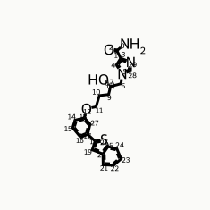 NC(=O)c1cn(C[C@@H](O)CCCOc2cccc(-c3cc4ccccc4s3)c2)cn1